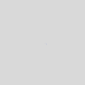 Bc1ccc(N(c2cccc3ccccc23)c2cccc3ccccc23)cc1